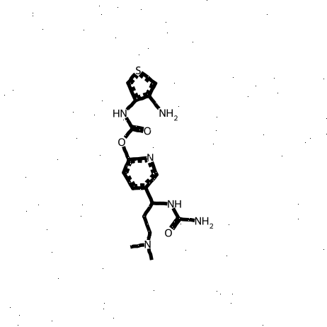 CN(C)CCC(NC(N)=O)c1ccc(OC(=O)Nc2cscc2N)nc1